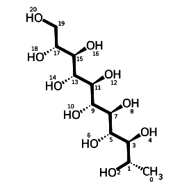 C[C@H](O)[C@H](O)[C@H](O)[C@H](O)[C@H](O)[C@H](O)[C@H](O)[C@H](O)[C@H](O)CO